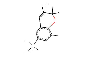 CCc1cc([Si](C)(C)C)cc2c1OC(CC)(C(F)(F)F)C(C(=O)O)=C2